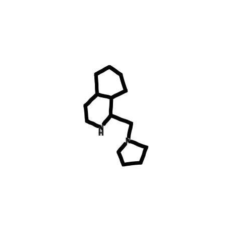 C1CCC2C(C1)CCNC2CN1CCCC1